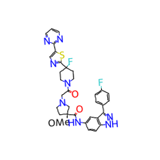 CO[C@@]1(C(=O)Nc2ccc3[nH]nc(-c4ccc(F)cc4)c3c2)CCN(CC(=O)N2CCC(F)(c3ncc(-c4ncccn4)s3)CC2)C1